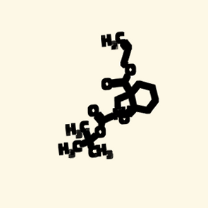 C=CCOC(=O)C1(CNC(=O)OC(C)(C)C)CCCCC1=O